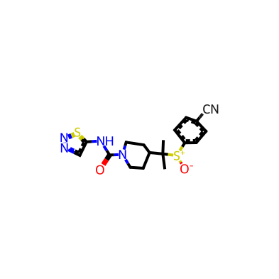 CC(C)(C1CCN(C(=O)Nc2cnns2)CC1)[S+]([O-])c1ccc(C#N)cc1